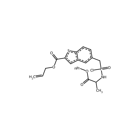 C=CCOC(=O)c1cc2cc(CP(=O)(Cl)NC(C)C(=O)OCCC)ccc2s1